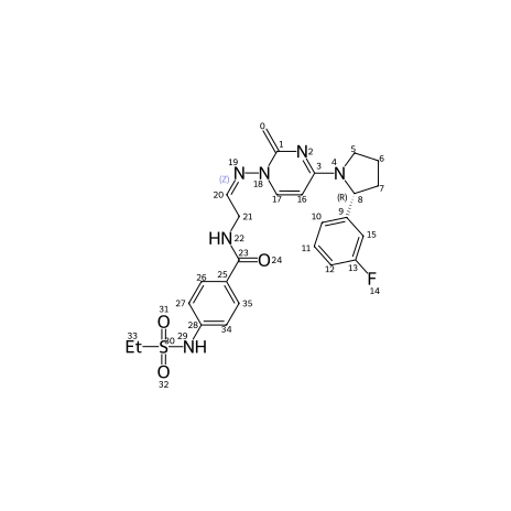 C=C1N=C(N2CCC[C@@H]2c2cccc(F)c2)C=CN1/N=C\CNC(=O)c1ccc(NS(=O)(=O)CC)cc1